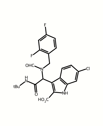 CC(C)(C)NC(=O)C(c1c(C(=O)O)[nH]c2cc(Cl)ccc12)N(C=O)Cc1ccc(F)cc1F